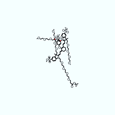 COCCOCCOCCOCC[N+]1=C(/C=C/C2=C(Oc3ccc(S(=O)(=O)OC)cc3)C(=C/C=C3/N(CCOCCOCCOCCOCCC(=O)ON(C)C)c4ccc(S(=O)(=O)OC)cc4C3(C)CCOCCOCCOCCOC)/CCC2)C(C)(CCOCCOCCOCCOC)c2cc(S(=O)(=O)OC)ccc21